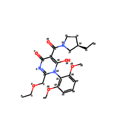 CCOCc1nc(=O)c(C(=O)N2CC[C@@H](CC)C2)c(O)n1-c1c(OC)cccc1OC